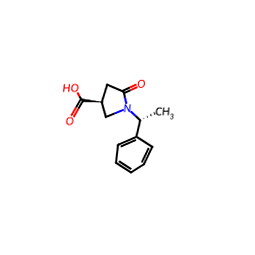 C[C@H](c1ccccc1)N1C[C@@H](C(=O)O)CC1=O